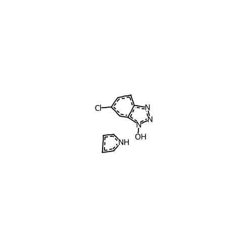 On1nnc2ccc(Cl)cc21.c1cc[nH]c1